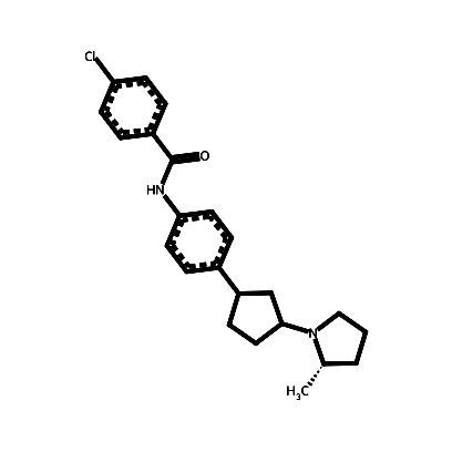 C[C@H]1CCCN1C1CCC(c2ccc(NC(=O)c3ccc(Cl)cc3)cc2)C1